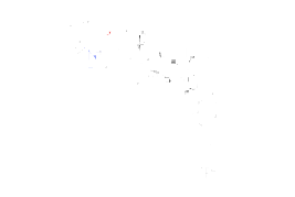 CC(C)CCC[C@@H](C)[C@H]1CC[C@H]2[C@@H]3CC[C@H]4CC5(CC[C@]4(C)[C@H]3CC[C@]12C)NC(C)(C)CO5